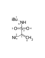 C=C(C#N)S(=O)(=O)N[C@@H](C)CC